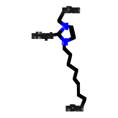 CCCCCCCCCCCCCCCCCCN1C=CN(CCCCCCCCCCC)C1CCCCCCC